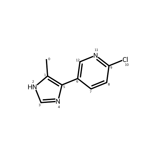 Cc1[nH]cnc1-c1ccc(Cl)nc1